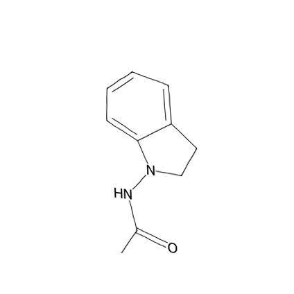 CC(=O)NN1CCc2ccccc21